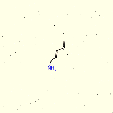 C=CC=CCN